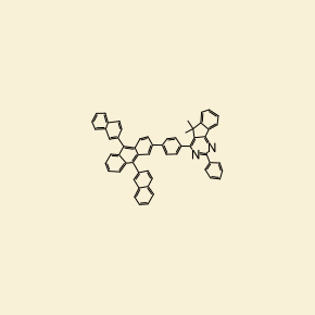 CC1(C)c2ccccc2-c2nc(-c3ccccc3)nc(-c3ccc(-c4ccc5c(-c6ccc7ccccc7c6)c6ccccc6c(-c6ccc7ccccc7c6)c5c4)cc3)c21